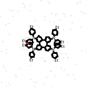 CCc1ccc(N(c2ccc(CC)cc2)c2ccc3c(c2)-c2cc(N(c4ccc(CC)cc4)c4ccc(CC)cc4)ccc2-c2ccc(N(c4ccc(CC)cc4)c4ccc(CC)cc4)cc2-c2cc(N(c4ccc(CC)cc4)c4ccc(CC)cc4)ccc2-3)cc1